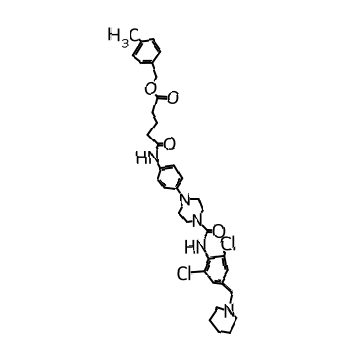 Cc1ccc(COC(=O)CCCC(=O)Nc2ccc(N3CCN(C(=O)Nc4c(Cl)cc(CN5CCCCC5)cc4Cl)CC3)cc2)cc1